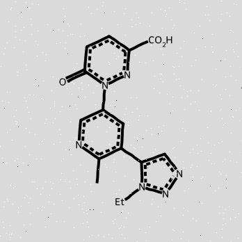 CCn1nncc1-c1cc(-n2nc(C(=O)O)ccc2=O)cnc1C